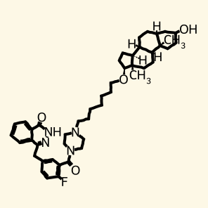 C[C@]12CCC(O)C[C@@H]1CC[C@@H]1[C@@H]2CC[C@]2(C)[C@@H](OCCCCCCCN3CCN(C(=O)c4cc(Cc5n[nH]c(=O)c6ccccc56)ccc4F)CC3)CC[C@@H]12